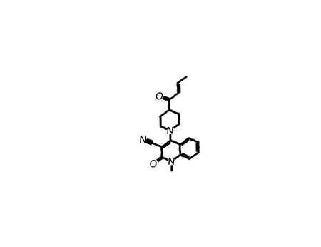 C/C=C/C(=O)C1CCN(c2c(C#N)c(=O)n(C)c3ccccc23)CC1